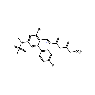 C=C(/C=C/c1c(-c2ccc(F)cc2)nc(N(C)S(C)(=O)=O)nc1C(C)C)CC(=C)CC(=O)O